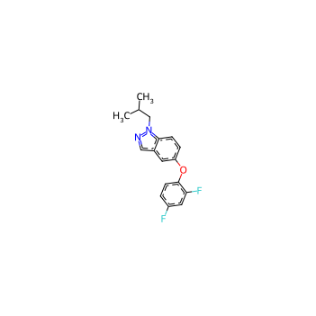 CC(C)Cn1ncc2cc(Oc3ccc(F)cc3F)ccc21